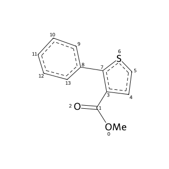 COC(=O)c1ccsc1-c1ccccc1